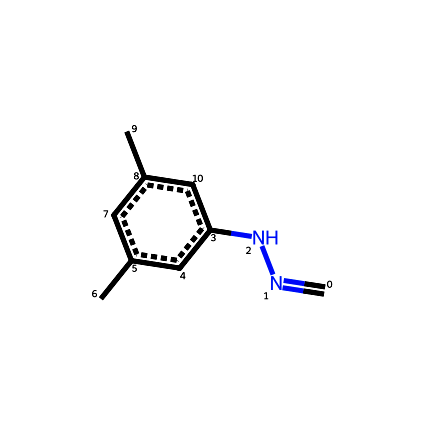 C=NNc1cc(C)cc(C)c1